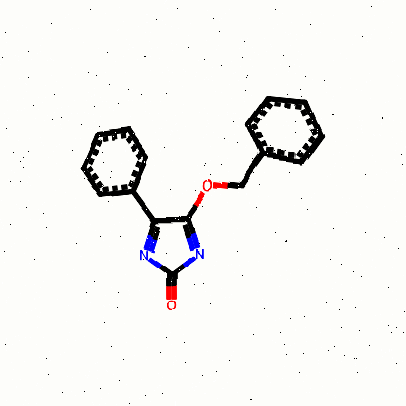 O=C1N=C(OCc2ccccc2)C(c2ccccc2)=N1